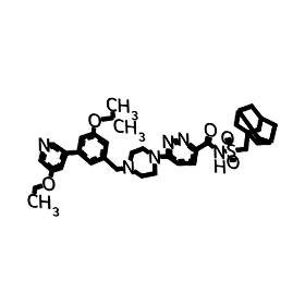 CCOc1cncc(-c2cc(CN3CCN(c4ccc(C(=O)NS(=O)(=O)CC56CC7CC(CC(C7)C5)C6)nn4)CC3)cc(OC(C)C)c2)c1